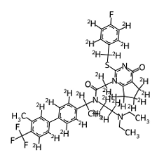 [2H]c1c([2H])c(C([2H])([2H])Sc2nc(=O)c3c(n2C([2H])([2H])C(=O)N(C([2H])(C)c2c([2H])c([2H])c(-c4c([2H])c([2H])c(C(F)(F)F)c(C)c4[2H])c([2H])c2[2H])C([2H])([2H])C([2H])([2H])N(CC)CC)C([2H])([2H])C([2H])([2H])C3([2H])[2H])c([2H])c([2H])c1F